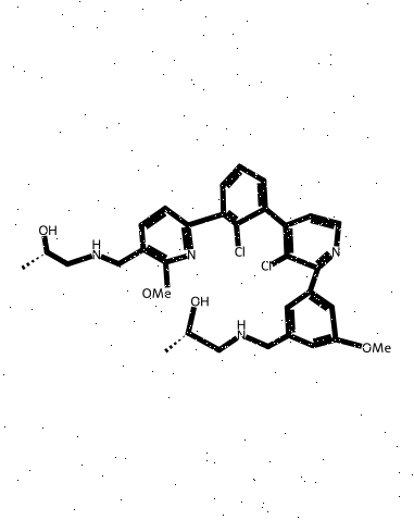 COc1cc(CNC[C@H](C)O)cc(-c2nccc(-c3cccc(-c4ccc(CNC[C@H](C)O)c(OC)n4)c3Cl)c2Cl)c1